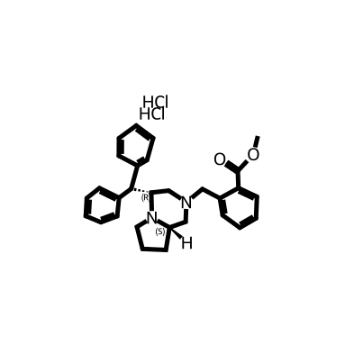 COC(=O)c1ccccc1CN1C[C@@H]2CCCN2[C@H](C(c2ccccc2)c2ccccc2)C1.Cl.Cl